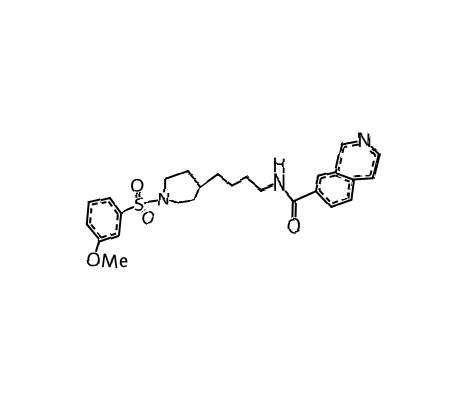 COc1cccc(S(=O)(=O)N2CCC(CCCCNC(=O)c3ccc4ccncc4c3)CC2)c1